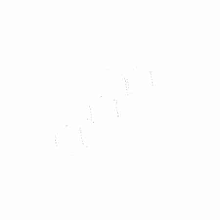 CC(C)c1ccc(N2CCN(C3CCOCC3)CC2)c(F)c1